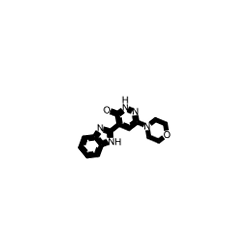 O=c1[nH]nc(N2CCOCC2)cc1-c1nc2ccccc2[nH]1